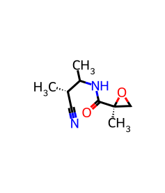 CC(NC(=O)[C@]1(C)CO1)[C@@H](C)C#N